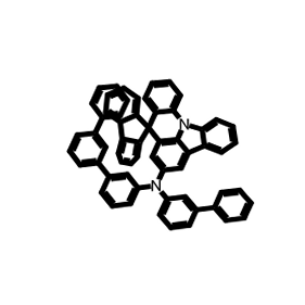 c1ccc(-c2cccc(-c3cccc(N(c4cccc(-c5ccccc5)c4)c4cc5c6c(c4)c4ccccc4n6-c4ccccc4C54c5ccccc5-c5ccccc54)c3)c2)cc1